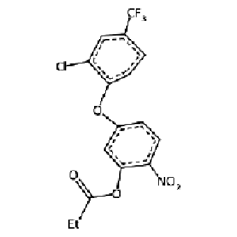 CCC(=O)Oc1cc(Oc2ccc(C(F)(F)F)cc2Cl)ccc1[N+](=O)[O-]